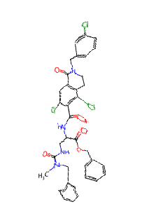 CN(Cc1ccccc1)C(=O)NCC(NC(=O)c1c(Cl)cc2c(c1Cl)CCN(Cc1cccc(Cl)c1)C2=O)C(=O)OCc1ccccc1